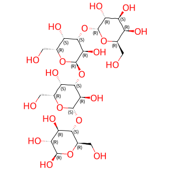 OC[C@H]1O[C@H](O[C@H]2[C@@H](O)[C@@H](CO)O[C@H](O[C@H]3[C@@H](O)[C@@H](CO)O[C@@H](O[C@H]4[C@H](O)[C@@H](O)[C@H](O)O[C@@H]4CO)[C@@H]3O)[C@@H]2O)[C@H](O)[C@@H](O)[C@H]1O